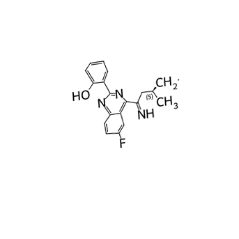 [CH2][C@@H](C)CC(=N)c1nc(-c2ccccc2O)nc2ccc(F)cc12